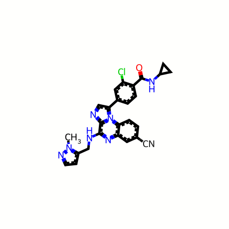 Cn1nccc1CNc1nc2cc(C#N)ccc2n2c(-c3ccc(C(=O)NC4CC4)c(Cl)c3)cnc12